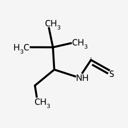 CCC(N[C]=S)C(C)(C)C